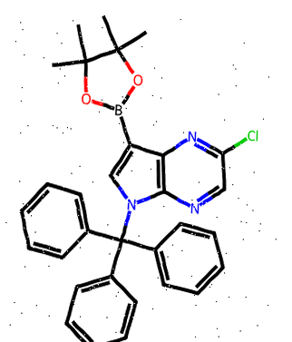 CC1(C)OB(c2cn(C(c3ccccc3)(c3ccccc3)c3ccccc3)c3ncc(Cl)nc23)OC1(C)C